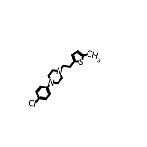 Cc1ccc(CCN2CCN(c3ccc(Cl)cc3)CC2)s1